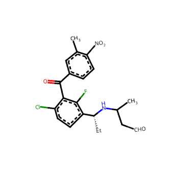 CC[C@@H](NC(C)CC=O)c1ccc(Cl)c(C(=O)c2ccc([N+](=O)[O-])c(C)c2)c1F